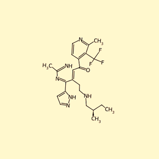 CC[C@@H](C)CNCCC(=C\C(=O)c1ccnc(C)c1C(F)(F)F)/C(=N\C(C)=N)c1ccn[nH]1